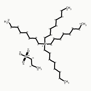 CCCCCCCC[N+](CCCCCCCC)(CCCCCCCC)CCCCCCCC.CCCS(=O)(=O)[O-]